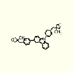 CC1(Cc2ccc(-c3ccc4c(c3)c3ccccc3n4-c3ccc(CC4(C)COC4)cc3)cc2)COC1